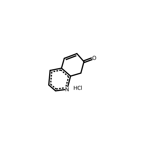 Cl.O=C1C=Cc2cccnc2C1